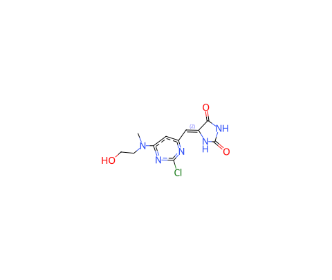 CN(CCO)c1cc(/C=C2\NC(=O)NC2=O)nc(Cl)n1